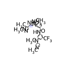 Cc1ccc(C(=O)Nc2cc(N(C)C3CCN(C)C3)cc(C(F)(F)F)c2)cc1N(N)/C=C(\N)c1cnn(C)c1C